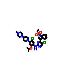 CCS(=O)(=O)n1cc(-c2nc(Nc3cc(Cl)c(N4CCC(N5CCN(C)CC5)CC4)cc3OC(C)C)ncc2Cl)c2ccccc21